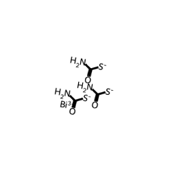 NC(=O)[S-].NC(=O)[S-].NC(=O)[S-].[Bi+3]